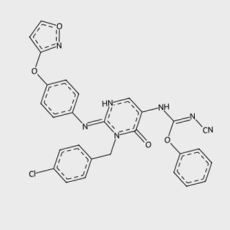 N#C/N=C(/Nc1c[nH]/c(=N\c2ccc(Oc3ccon3)cc2)n(Cc2ccc(Cl)cc2)c1=O)Oc1ccccc1